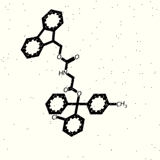 Cc1ccc(C(OC(=O)CNC(=O)OCC2c3ccccc3-c3ccccc32)(c2ccccc2)c2ccccc2Cl)cc1